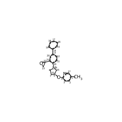 Cc1ccc(O[C@H]2CCN(c3ccc(-c4ccccc4)cc3C3CO3)C2)nc1